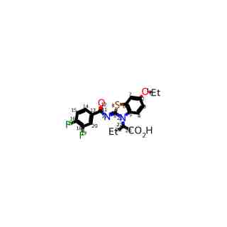 CCOc1ccc2c(c1)sc(=NC(=O)c1ccc(F)c(F)c1)n2C(CC)C(=O)O